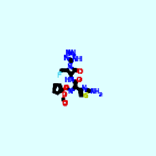 Nc1nc(C(=NOC2(OC=O)CCCC2)C(=O)NC2C(=O)N(c3nnn[nH]3)C2CF)cs1